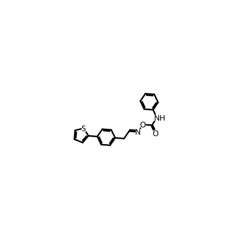 O=C(Nc1ccccc1)ON=CCc1ccc(-c2cccs2)cc1